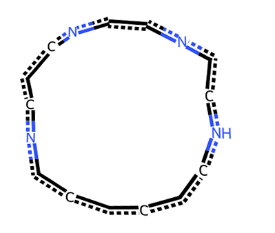 c1ccc[nH]ccnccncccncc1